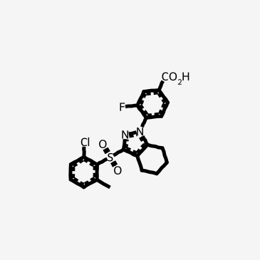 Cc1cccc(Cl)c1S(=O)(=O)c1nn(-c2ccc(C(=O)O)cc2F)c2c1CCCC2